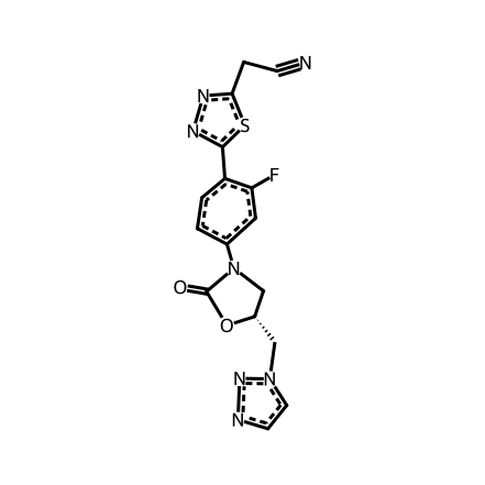 N#CCc1nnc(-c2ccc(N3C[C@H](Cn4ccnn4)OC3=O)cc2F)s1